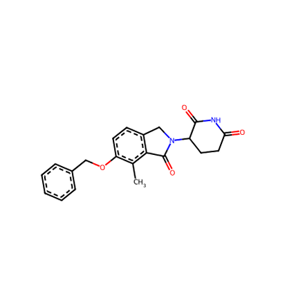 Cc1c(OCc2ccccc2)ccc2c1C(=O)N(C1CCC(=O)NC1=O)C2